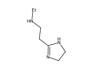 CCNCCC1=NCCN1